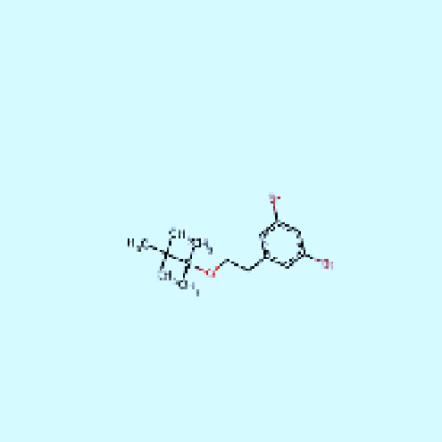 CC(C)(C)[Si](C)(C)OCCc1cc(Br)cc(Br)c1